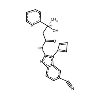 C[C@](O)(CC(=O)Nc1nc2ccc(C#N)cc2n1C1=CC=C1)c1ccccn1